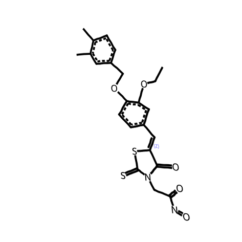 CCOc1cc(/C=C2\SC(=S)N(CC(=O)N=O)C2=O)ccc1OCc1ccc(C)c(C)c1